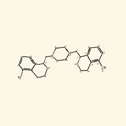 N#Cc1cccc2c1CCOC2CN1CCN(CC2OCCc3c(C#N)cccc32)CC1